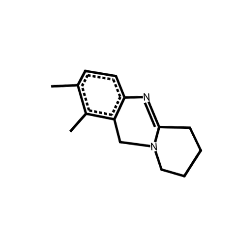 Cc1ccc2c(c1C)CN1CCCCC1=N2